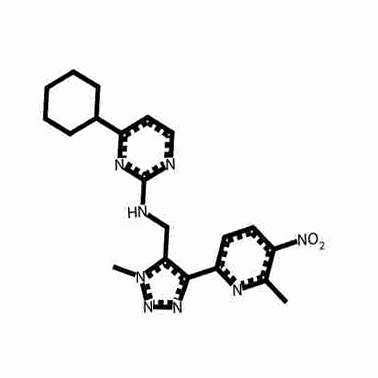 Cc1nc(-c2nnn(C)c2CNc2nccc(C3CCCCC3)n2)ccc1[N+](=O)[O-]